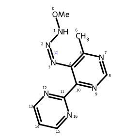 CON/N=N\c1c(C)ncnc1-c1ncccn1